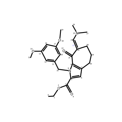 CCOC(=O)c1cc2c(n1Cc1cc(OC)cc(OC)c1)C(=O)/C(=C/N(C)C)CCC2